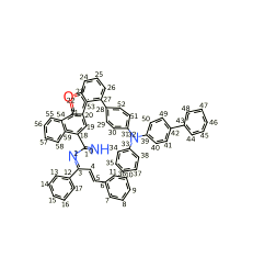 N=C(/N=C(\C=C\c1ccccc1)c1ccccc1)c1cc2c(oc3cccc(-c4ccc(N(c5ccccc5)c5ccc(-c6ccccc6)cc5)cc4)c32)c2ccccc12